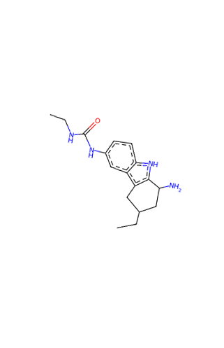 CCNC(=O)Nc1ccc2[nH]c3c(c2c1)CC(CC)CC3N